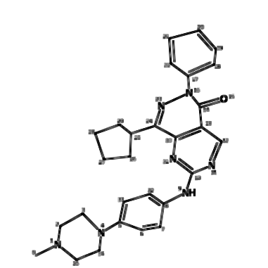 CN1CCN(c2ccc(Nc3ncc4c(=O)n(-c5ccccc5)nc(C5CCCC5)c4n3)cc2)CC1